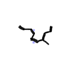 C=CC=C(C)/C=N\C=C/C=C